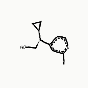 Cc1cc([C@@H](CO)C2CC2)ccn1